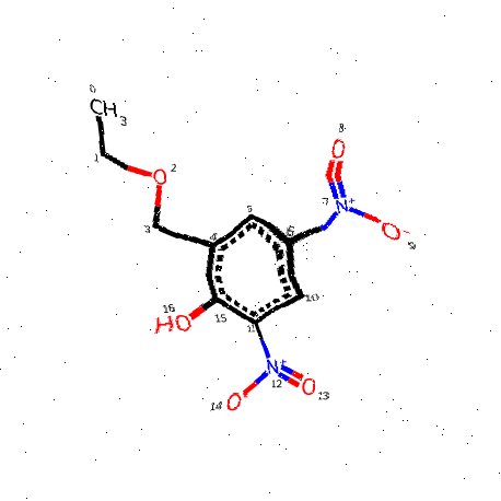 CCOCc1cc([N+](=O)[O-])cc([N+](=O)[O-])c1O